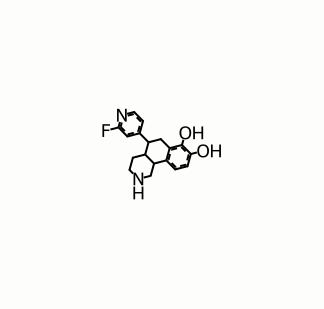 Oc1ccc2c(c1O)CC(c1ccnc(F)c1)C1CCNCC21